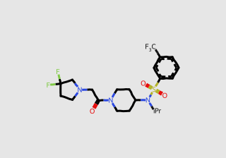 CC(C)N(C1CCN(C(=O)CN2CCC(F)(F)C2)CC1)S(=O)(=O)c1cccc(C(F)(F)F)c1